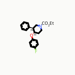 CCOC(=O)N1CC[C@H](Oc2ccc(F)cc2)[C@@H](c2ccccc2)C1